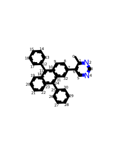 Cc1ncncc1-c1ccc2c(-c3ccccc3)c3ccccc3c(-c3ccccc3)c2c1